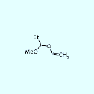 C=COC(CC)OC